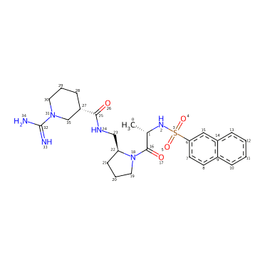 C[C@H](NS(=O)(=O)c1ccc2ccccc2c1)C(=O)N1CCC[C@H]1CNC(=O)[C@H]1CCCN(C(=N)N)C1